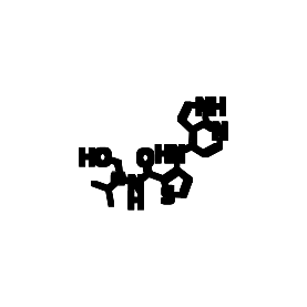 CC(C)[C@@H](CO)NC(=O)c1sccc1Nc1ccnc2[nH]ccc12